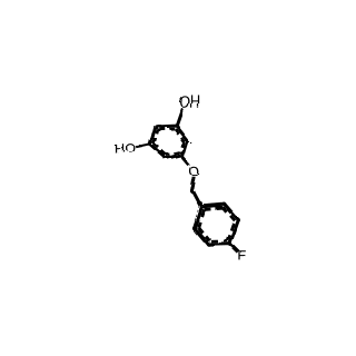 Oc1[c]c(OCc2ccc(F)cc2)cc(O)c1